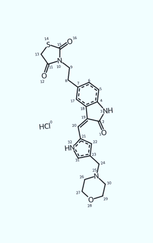 Cl.O=C1Nc2ccc(CCN3C(=O)CSC3=O)cc2C1=Cc1cc(CN2CCOCC2)c[nH]1